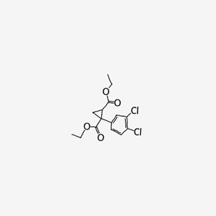 CCOC(=O)C1CC1(C(=O)OCC)c1ccc(Cl)c(Cl)c1